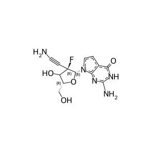 NC#C[C@@]1(F)C(O)[C@@H](CO)O[C@H]1n1ccc2c(=O)[nH]c(N)nc21